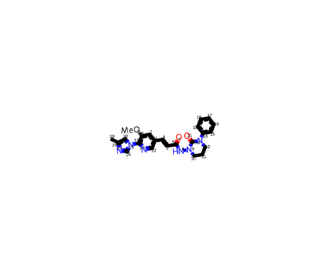 COc1cc(C=CC(=O)NN2CCCN(c3ccccc3)C2=O)cnc1-n1cnc(C)c1